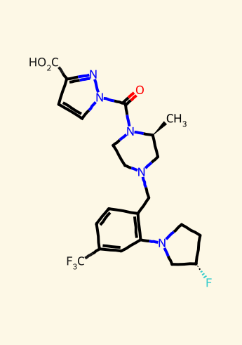 C[C@H]1CN(Cc2ccc(C(F)(F)F)cc2N2CC[C@H](F)C2)CCN1C(=O)n1ccc(C(=O)O)n1